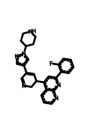 Fc1ccccc1-c1cc(C2C=C(c3cnn(C4CCNCC4)c3)C=NC2)c2cccnc2n1